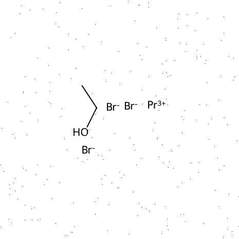 CCO.[Br-].[Br-].[Br-].[Pr+3]